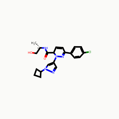 C[C@@H](CO)NC(=O)C1C=CC(c2ccc(Cl)cc2)=NN1c1cnn(C2CCC2)c1